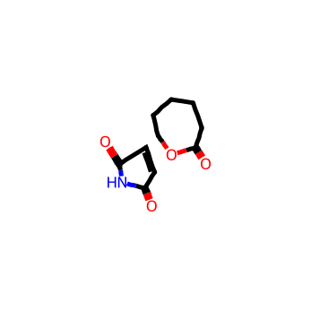 O=C1C=CC(=O)N1.O=C1CCCCCO1